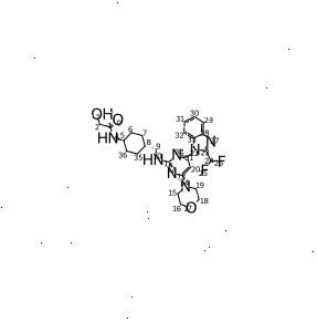 O=C(CO)N[C@H]1CC[C@H](CNc2nc(N3CCOCC3)cc(-n3c(C(F)F)nc4ccccc43)n2)CC1